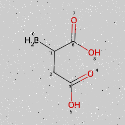 BC(CC(=O)O)C(=O)O